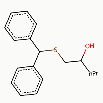 CCCC(O)CSC(c1ccccc1)c1ccccc1